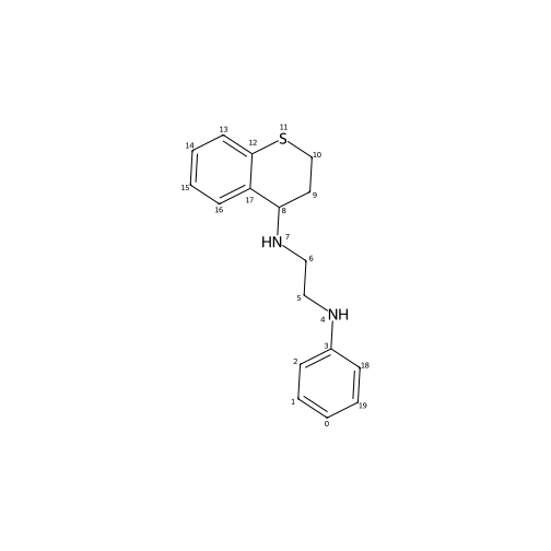 c1ccc(NCCNC2CCSc3ccccc32)cc1